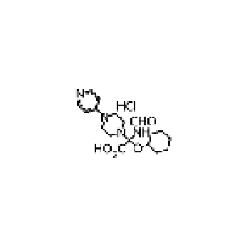 Cl.O=CNC(OC1CCCCC1)(C(=O)O)N1CCN(c2ccncc2)CC1